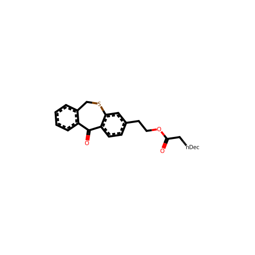 CCCCCCCCCCCC(=O)OCCc1ccc2c(c1)SCc1ccccc1C2=O